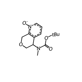 CN(C(=O)OC(C)(C)C)C1COCc2c1ccc[n+]2[O-]